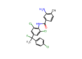 N#Cc1ccc(C(=O)Nc2c(Cl)cc(C(F)(c3ccc(Cl)cc3)C(F)(F)F)cc2Cl)cc1N